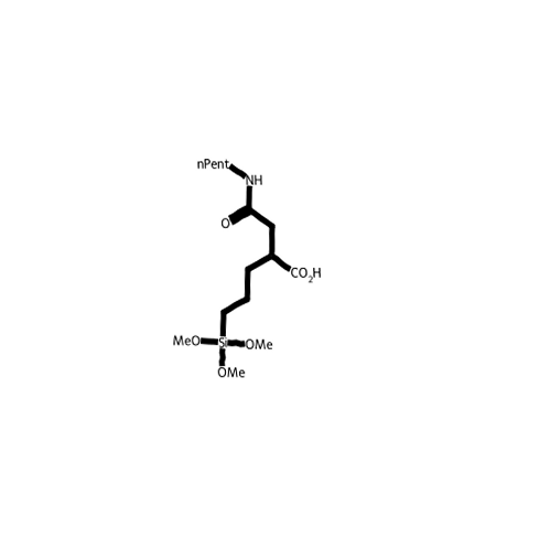 CCCCCNC(=O)CC(CCC[Si](OC)(OC)OC)C(=O)O